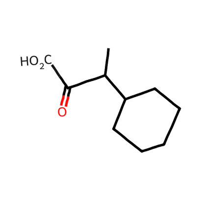 CC(C(=O)C(=O)O)C1CCCCC1